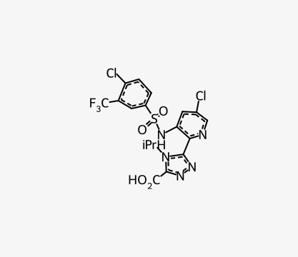 CC(C)n1c(C(=O)O)nnc1-c1ncc(Cl)cc1NS(=O)(=O)c1ccc(Cl)c(C(F)(F)F)c1